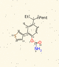 CCCCCC(CC)c1ccc(OC(N)=O)c(-c2ccsc2)c1C